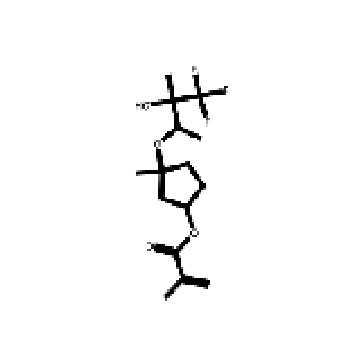 C=C(C)C(=O)OC1CCC(C)(OC(C)C(C)(O)C(F)(F)F)C1